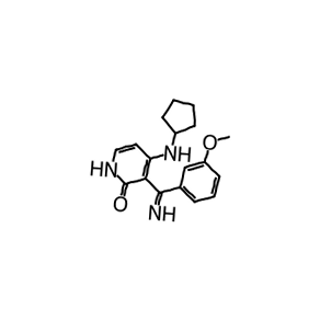 COc1cccc(C(=N)c2c(NC3CCCC3)cc[nH]c2=O)c1